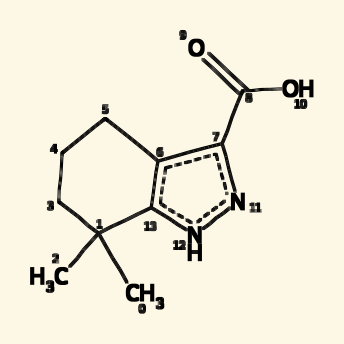 CC1(C)CCCc2c(C(=O)O)n[nH]c21